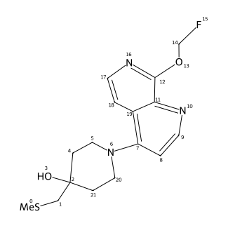 CSCC1(O)CCN(c2ccnc3c(OCF)nccc23)CC1